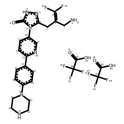 NCC(Cc1n[nH]c(=O)n1-c1ccc(-c2ccc(N3CCNCC3)cc2)nc1)=C(F)F.O=C(O)C(F)(F)F.O=C(O)C(F)(F)F